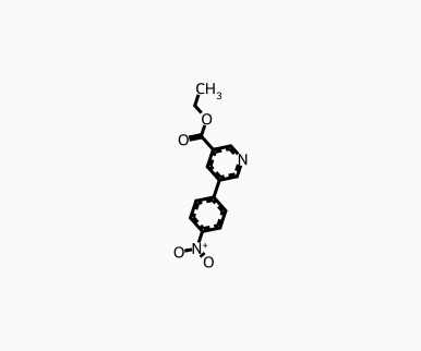 CCOC(=O)c1cncc(-c2ccc([N+](=O)[O-])cc2)c1